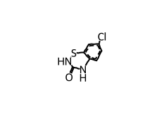 O=C1NSc2cc(Cl)ccc2N1